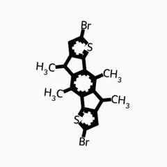 Cc1c2c(c(C)c3c1C(C)c1cc(Br)sc1-3)C(C)c1cc(Br)sc1-2